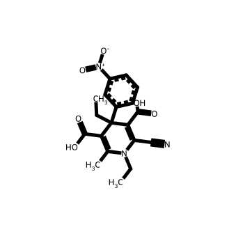 CCN1C(C)=C(C(=O)O)C(CC)(c2cccc([N+](=O)[O-])c2)C(C(=O)O)=C1C#N